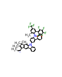 C/C=C\C1=C(C)C(C)(C)c2cc3c(cc21)c1ccccc1n3-c1ccc2c(c1)c1ccccc1n2-c1c(C)cc(C(F)(F)F)cc1-c1c(F)c(F)c(F)c(F)c1F